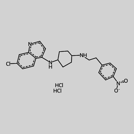 Cl.Cl.O=[N+]([O-])c1ccc(CCNC2CCC(Nc3ccnc4cc(Cl)ccc34)CC2)cc1